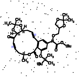 C[C@H]1C/C=C\C(=O)[C@H]2OC(C)(C)O[C@H]2C/C=C/c2cc(N(OCC3COC(C)(C)O3)C(=O)OC(C)(C)C)cc(O[Si](C)(C)C(C)(C)C)c2C(=O)O1